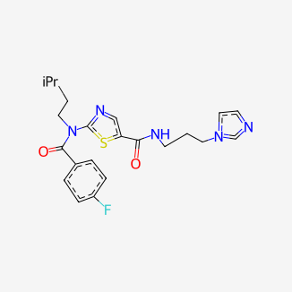 CC(C)CCN(C(=O)c1ccc(F)cc1)c1ncc(C(=O)NCCCn2ccnc2)s1